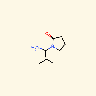 CC(C)C(N)N1CCCC1=O